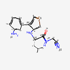 CC(C)C[C@H](Nc1cscc1-c1cccc(N)c1)C(=O)NCC#N